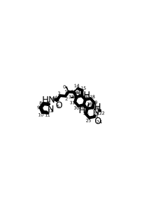 C[C@H](CCC(=O)Nc1ccccn1)[C@H]1CC[C@H]2[C@@H]3CC[C@H]4N(C)C(=O)CC[C@]4(C)[C@H]3CC[C@]12C